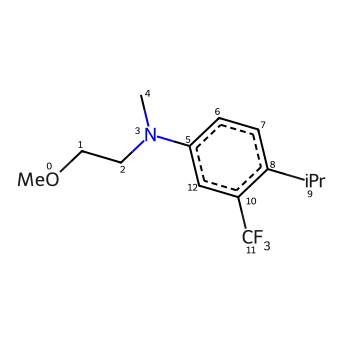 COCCN(C)c1ccc(C(C)C)c(C(F)(F)F)c1